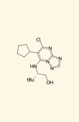 CC(C)(C)[C@@H](CO)Nc1c(C2CCCC2)c(Cl)nc2ncnn12